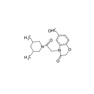 CC1CC(C)CN(C(=O)CN2C(=O)COc3ccc(C=O)cc32)C1